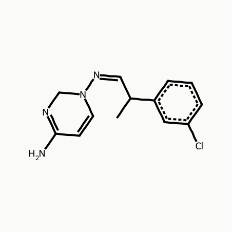 CC(/C=N\N1C=CC(N)=NC1)c1cccc(Cl)c1